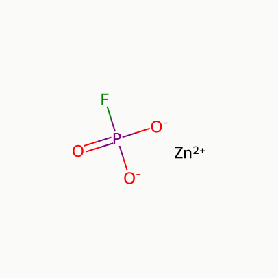 O=P([O-])([O-])F.[Zn+2]